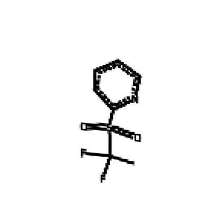 CC(F)(F)S(=O)(=O)c1ccccn1